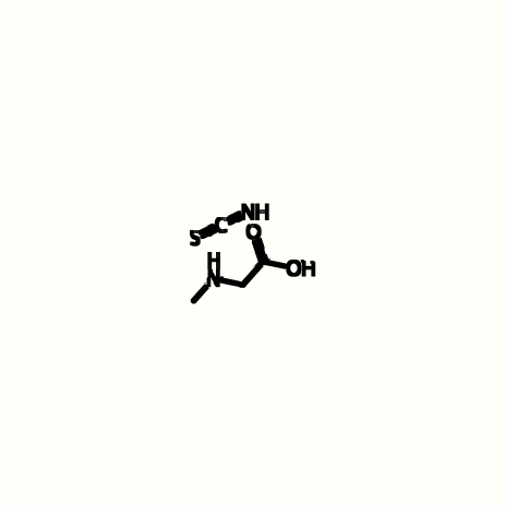 CNCC(=O)O.N=C=S